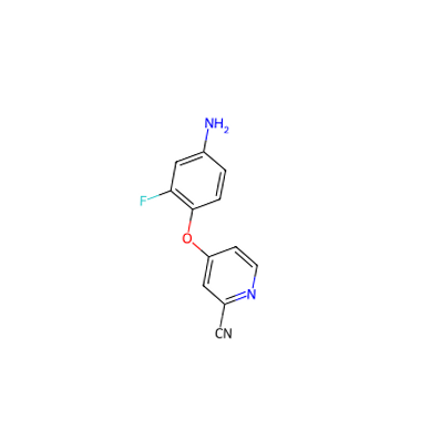 N#Cc1cc(Oc2ccc(N)cc2F)ccn1